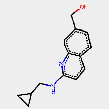 OCc1ccc2ccc(NCC3CC3)nc2c1